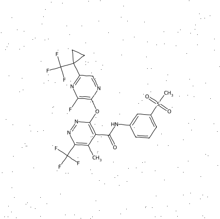 Cc1c(C(F)(F)F)nnc(Oc2ncc(C3(C(F)(F)F)CC3)nc2F)c1C(=O)Nc1cccc(S(C)(=O)=O)c1